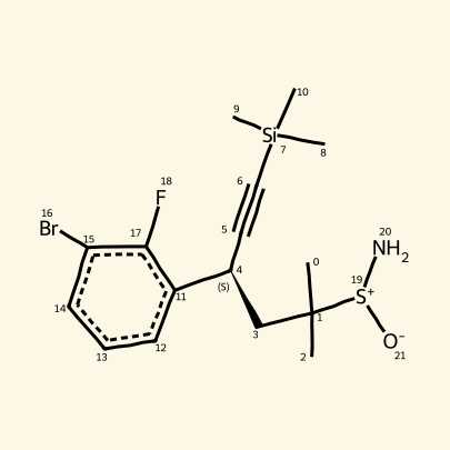 CC(C)(C[C@H](C#C[Si](C)(C)C)c1cccc(Br)c1F)[S+](N)[O-]